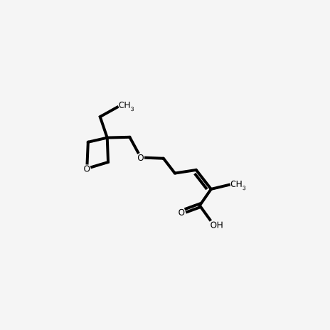 CCC1(COCCC=C(C)C(=O)O)COC1